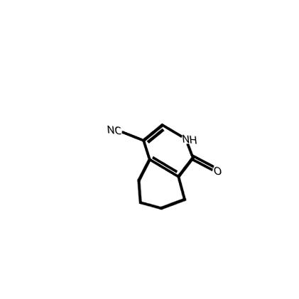 N#Cc1c[nH]c(=O)c2c1CCCC2